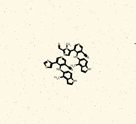 Cc1c(Nc2c(C#N)cncc2-c2cnc(C=O)n2C)ccc2[nH]ccc12.Cc1c(Nc2c(C#N)cncc2-c2cscn2)ccc2[nH]ccc12